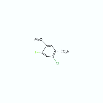 COc1cc(C(=O)O)c(Cl)cc1F